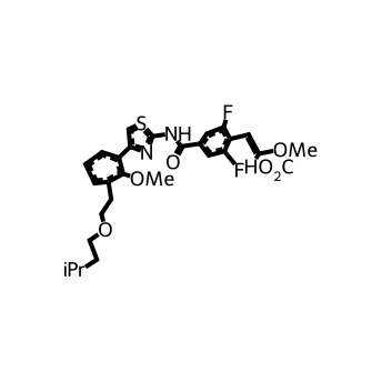 CO/C(=C/c1c(F)cc(C(=O)Nc2nc(-c3cccc(CCOCCC(C)C)c3OC)cs2)cc1F)C(=O)O